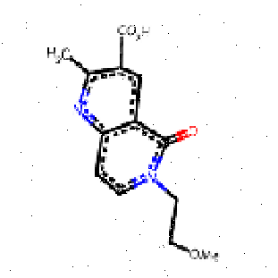 COCCn1ccc2nc(C)c(C(=O)O)cc2c1=O